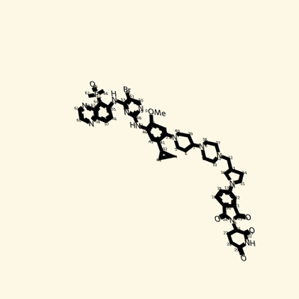 COc1cc(N2CCC(N3CCN(CC4CCN(c5ccc6c(c5)C(=O)N(C5CCC(=O)NC5=O)C6=O)C4)CC3)CC2)c(C2CC2)cc1Nc1ncc(Br)c(Nc2ccc3nccnc3c2P(C)(C)=O)n1